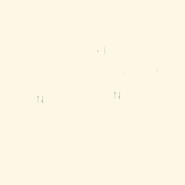 O=C(Cl)N1CCCC1.c1ccncc1